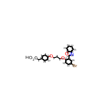 O=C(O)Cc1ccc(OCCCOc2ccc(Br)cc2-c2nc3ccccc3o2)cc1